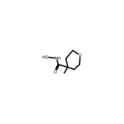 CC1(C(=O)NO)CCOCC1